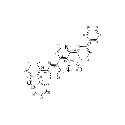 O=C1c2ccc(-c3ccccc3)cc2-c2nccc3c2c1nc1ccc(-c2cccc4oc5ccccc5c24)cc13